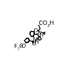 O=C(O)CCC(=O)N(C1CC1)[C@H]1c2ccccc2N(C(=O)c2cccc(OC(F)(F)F)c2)[C@@H]2CC[C@@H]21